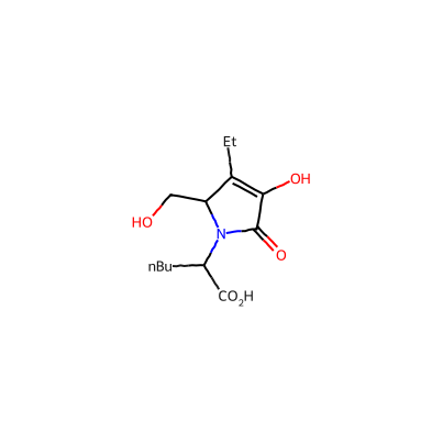 CCCCC(C(=O)O)N1C(=O)C(O)=C(CC)C1CO